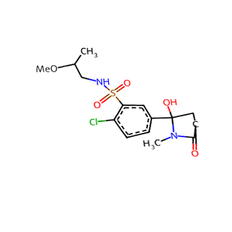 COC(C)CNS(=O)(=O)c1cc(C2(O)CCC(=O)N2C)ccc1Cl